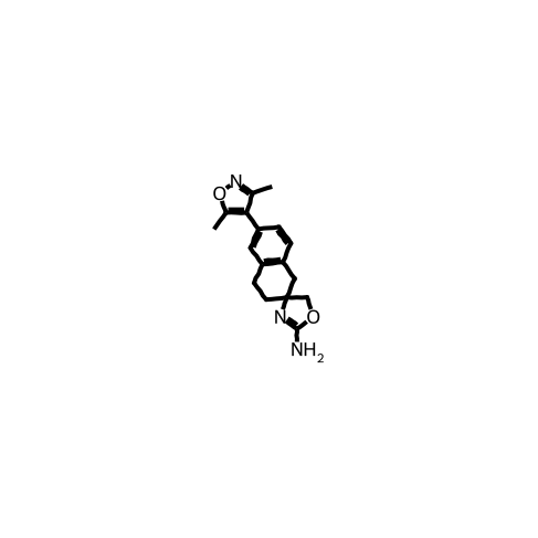 Cc1noc(C)c1-c1ccc2c(c1)CCC1(COC(N)=N1)C2